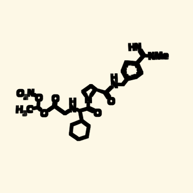 CNC(=N)c1ccc(CNC(=O)[C@@H]2CCN2C(=O)[C@H](NCC(=O)OC(C)O[N+](=O)[O-])C2CCCCC2)cc1